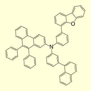 c1ccc(-c2c(-c3ccccc3)c3cc(N(c4cccc(-c5cccc6ccccc56)c4)c4cccc(-c5cccc6c5oc5ccccc56)c4)ccc3c3ccccc23)cc1